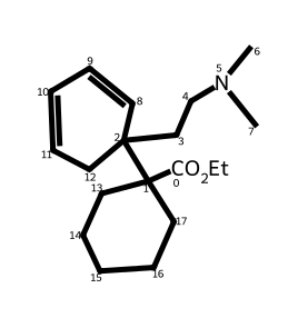 CCOC(=O)C1(C2(CCN(C)C)C=CC=CC2)CCCCC1